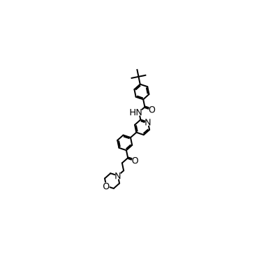 CC(C)(C)c1ccc(C(=O)Nc2cc(-c3cccc(C(=O)CCN4CCOCC4)c3)ccn2)cc1